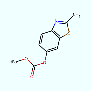 Cc1nc2ccc(OC(=O)OC(C)(C)C)cc2s1